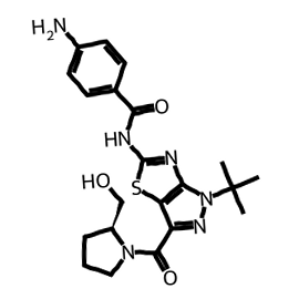 CC(C)(C)n1nc(C(=O)N2CCC[C@H]2CO)c2sc(NC(=O)c3ccc(N)cc3)nc21